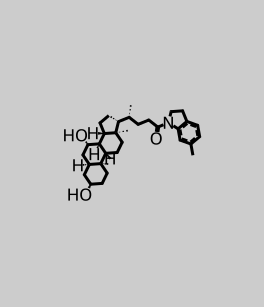 Cc1ccc2c(c1)N(C(=O)CC[C@@H](C)[C@H]1CC[C@H]3[C@@H]4[C@@H](O)C[C@@H]5C[C@H](O)CC[C@]5(C)[C@H]4CC[C@]13C)CC2